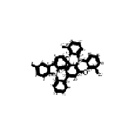 Cc1ccc2c(c1)c1ccccc1n2-c1ccccc1-c1cc2c3c(c1)Oc1c(C)cccc1B3c1cccc(C)c1O2